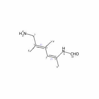 C/C(=C/C(C)=C(\C)CN)NC=O